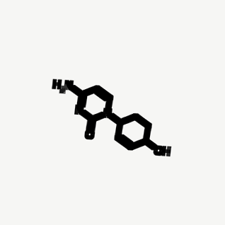 Nc1ccn(C2C=CC(O)CC2)c(=O)n1